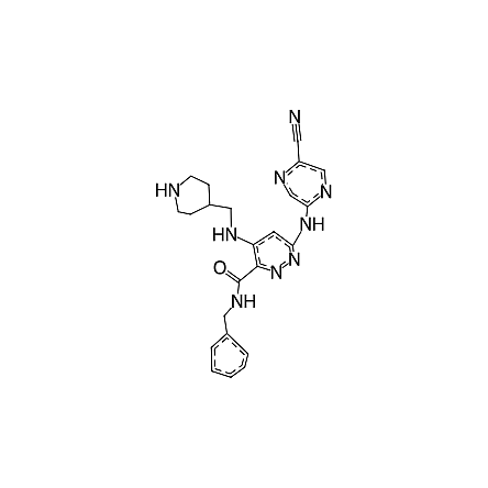 N#Cc1cnc(Nc2cc(NCC3CCNCC3)c(C(=O)NCc3ccccc3)nn2)cn1